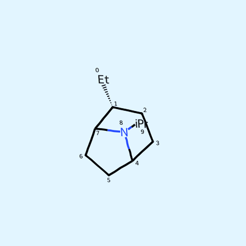 CC[C@@H]1CCC2CCC1N2C(C)C